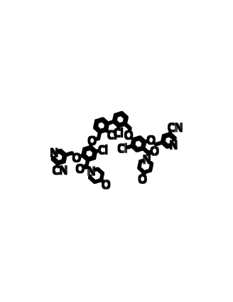 N#Cc1cncc(COc2cc(OCc3cccc(-c4cccc(COc5cc(OCc6cncc(C#N)c6)c(C(=O)N6CCC(=O)CC6)cc5Cl)c4Cl)c3Cl)c(Cl)cc2C(=O)N2CCC(=O)CC2)c1